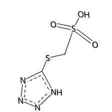 O=S(=O)(O)CSc1nnn[nH]1